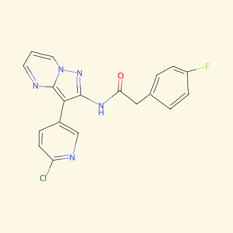 O=C(Cc1ccc(F)cc1)Nc1nn2cccnc2c1-c1ccc(Cl)nc1